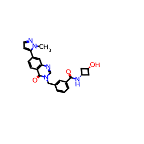 Cn1nccc1-c1ccc2c(=O)n(Cc3cccc(C(=O)N[C@H]4C[C@H](O)C4)c3)cnc2c1